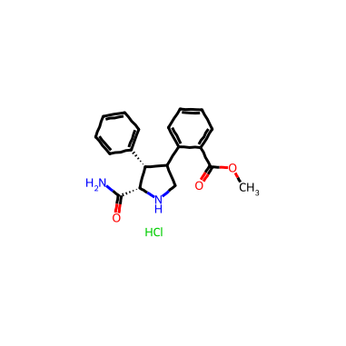 COC(=O)c1ccccc1C1CN[C@H](C(N)=O)[C@@H]1c1ccccc1.Cl